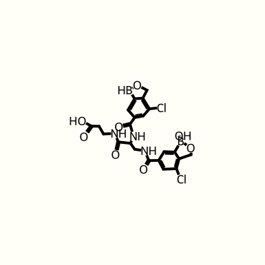 O=C(O)CCNC(=O)C(CNC(=O)c1cc(Cl)c2c(c1)B(O)OC2)NC(=O)c1cc(Cl)c2c(c1)BOC2